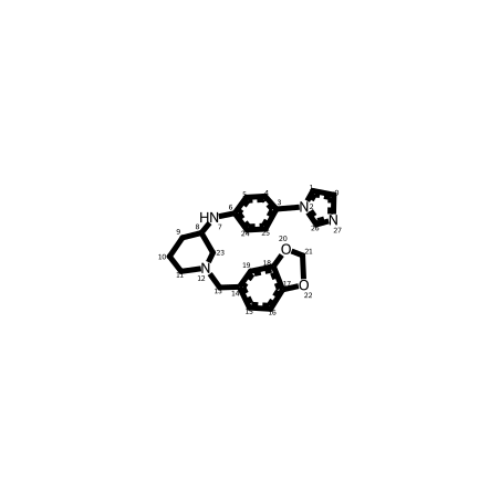 c1cn(-c2ccc(NC3CCCN(Cc4ccc5c(c4)OCO5)C3)cc2)cn1